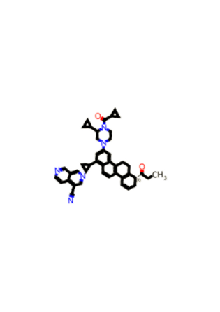 CCC(=O)[C@@H]1CC=CC2=C1CCc1c2ccc2c(C3CC3)cc(N3CCN(C(=O)C4CC4)C(C4CC4)C3)cc12.N#Cc1cncc2cnccc12